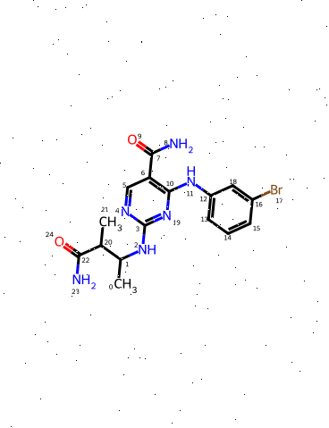 CC(Nc1ncc(C(N)=O)c(Nc2cccc(Br)c2)n1)C(C)C(N)=O